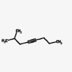 CCCC#CCC(C)C